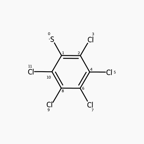 [S]c1c(Cl)c(Cl)c(Cl)c(Cl)c1Cl